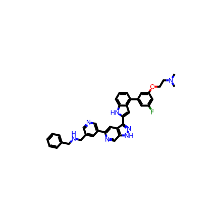 CN(C)CCOc1cc(F)cc(-c2cccc3[nH]c(-c4n[nH]c5cnc(-c6cncc(CNCc7ccccc7)c6)cc45)cc23)c1